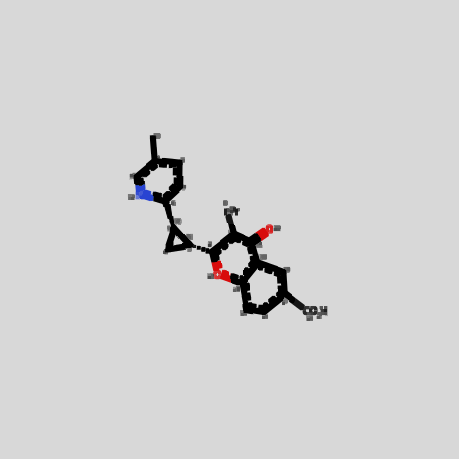 CCCc1c([C@@H]2C[C@H]2c2ccc(C)cn2)oc2ccc(C(=O)O)cc2c1=O